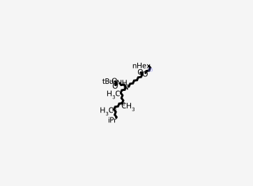 CCCCCC/C=C\COC(=O)CCCCCCCN(CCNC(=O)OC(C)(C)C)CCC(C)CCC[C@H](C)CCC[C@H](C)CCCC(C)C